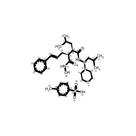 CC(C)C[C@@H](C(=O)NN(CC(C)C)N1CCSCC1)[C@H](CC=Cc1ccccc1)C(=O)NO.Cc1ccc(S(=O)(=O)O)cc1